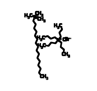 CCCCCCCCCCCCCCCC[N+](C)(C)C.CCCC[N+](CCCC)(CCCC)CCCC.[Br-].[Cl-]